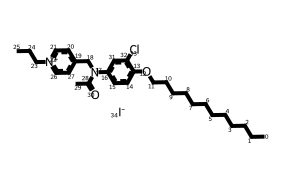 CCCCCCCCCCCCOc1ccc(N(Cc2cc[n+](CCC)cc2)C(C)=O)cc1Cl.[I-]